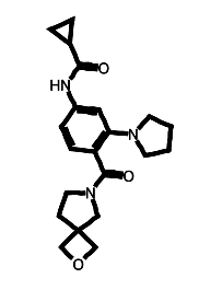 O=C(Nc1ccc(C(=O)N2CCC3(COC3)C2)c(N2CCCC2)c1)C1CC1